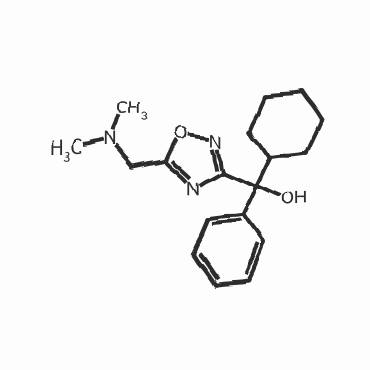 CN(C)Cc1nc(C(O)(c2ccccc2)C2CCCCC2)no1